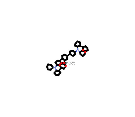 CCCCCCCCC1(C)c2cc(-c3ccc(N(c4ccccc4)c4ccccc4-c4ccccc4)cc3)ccc2-c2ccc(N(c3ccccc3)c3ccccc3-c3ccccc3)cc21